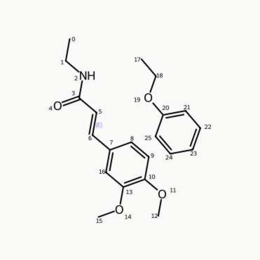 CCNC(=O)/C=C/c1ccc(OC)c(OC)c1.CCOc1ccccc1